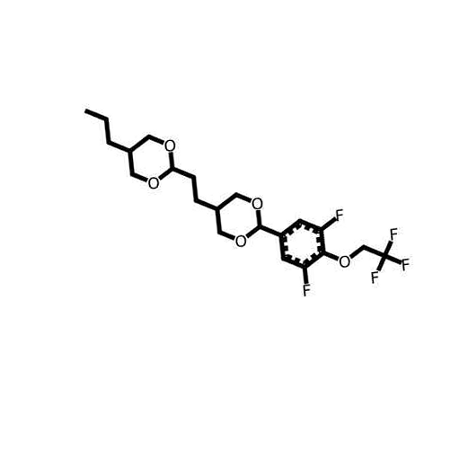 CCCC1COC(CCC2COC(c3cc(F)c(OCC(F)(F)F)c(F)c3)OC2)OC1